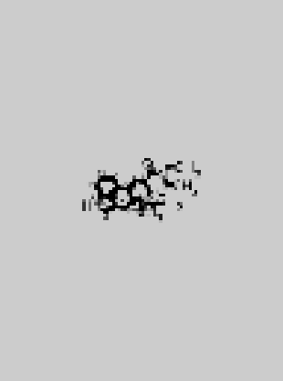 CCN(CC)C(=O)[C@@H]1C=C2c3cccc4[nH]cc(c34)C[C@H]2[N+](C)(CC)C1.[I-]